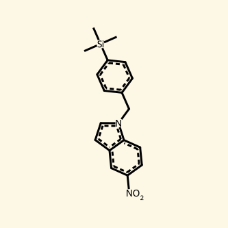 C[Si](C)(C)c1ccc(Cn2ccc3cc([N+](=O)[O-])ccc32)cc1